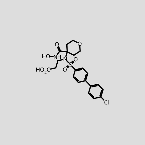 O=C(O)CCN(C1(C(=O)NO)CCOCC1)S(=O)(=O)c1ccc(-c2ccc(Cl)cc2)cc1